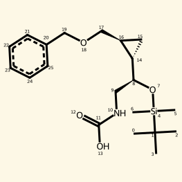 CC(C)(C)[Si](C)(C)O[C@@H](CNC(=O)O)[C@H]1C[C@@H]1COCc1ccccc1